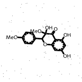 COc1ccc(C2Oc3cc(O)cc(O)c3C(=O)C2(O)OC)cc1